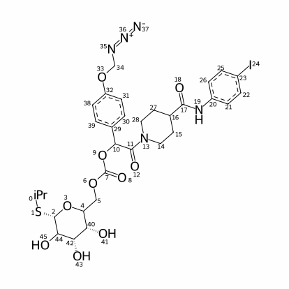 CC(C)S[C@@H]1OC(COC(=O)OC(C(=O)N2CCC(C(=O)Nc3ccc(I)cc3)CC2)c2ccc(OCN=[N+]=[N-])cc2)[C@H](O)[C@H](O)C1O